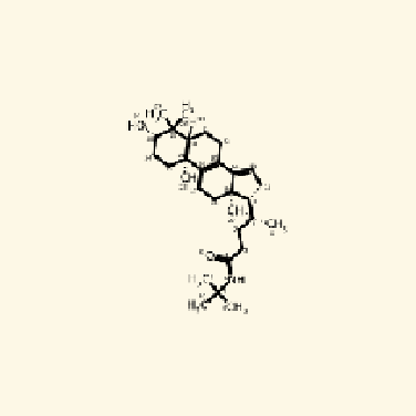 C[C@H](CCC(=O)NC(C)(C)C)[C@H]1CC=C2C3=C(CC[C@@]21C)[C@@]1(C)CC[C@H](O)C(C)(C)[C@@H]1CC3